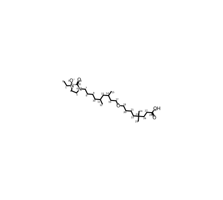 CC[N+]1([O-])CCN(CCCCC(C)CC(C)CCOCCCCC(C)(C)CCC(=O)O)C1=O